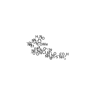 CCc1nc(C)oc1C(=O)Nc1nc2cc(C(N)=O)cc(OCCCN(C)C(=O)CCN3C(=O)CC(SC[C@H](N)C(=O)O)C3=O)c2n1C/C=C/Cn1c2cc(-c3cc(C)nn3CC)nnc2c2cc(C(N)=O)cc(OC)c21